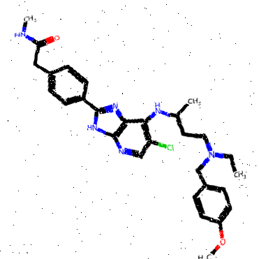 CCN(CCC(C)Nc1c(Cl)cnc2[nH]c(-c3ccc(CC(=O)NC)cc3)nc12)Cc1ccc(OC)cc1